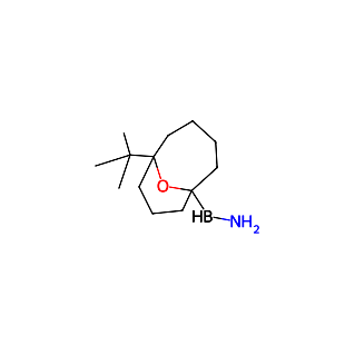 CC(C)(C)C12CCCCC(BN)(CCC1)O2